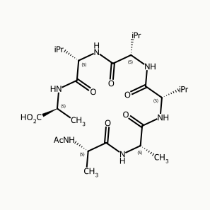 CC(=O)N[C@@H](C)C(=O)N[C@@H](C)C(=O)N[C@H](C(=O)N[C@H](C(=O)N[C@H](C(=O)N[C@@H](C)C(=O)O)C(C)C)C(C)C)C(C)C